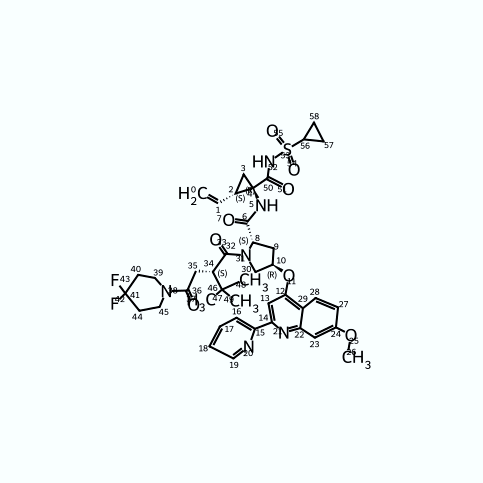 C=C[C@@H]1C[C@]1(NC(=O)[C@@H]1C[C@@H](Oc2cc(-c3ccccn3)nc3cc(OC)ccc23)CN1C(=O)[C@@H](CC(=O)N1CCC(F)(F)CC1)C(C)(C)C)C(=O)NS(=O)(=O)C1CC1